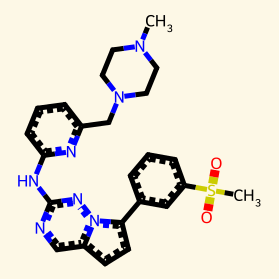 CN1CCN(Cc2cccc(Nc3ncc4ccc(-c5cccc(S(C)(=O)=O)c5)n4n3)n2)CC1